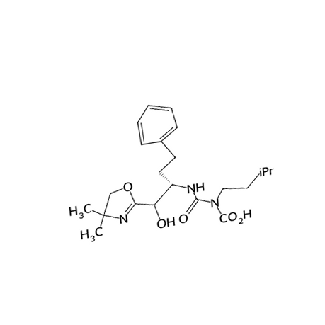 CC(C)CCN(C(=O)O)C(=O)N[C@@H](CCc1ccccc1)C(O)C1=NC(C)(C)CO1